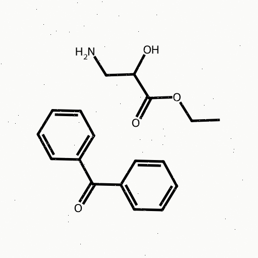 CCOC(=O)C(O)CN.O=C(c1ccccc1)c1ccccc1